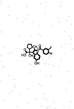 Cc1c([C@](C)(C(=O)O)C2CCCC2)c2cc(O)ccc2n1C(=O)c1ccc(F)c(F)c1